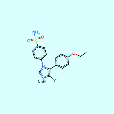 CCOc1ccc(-c2c(Cl)ncn2-c2ccc(S(N)(=O)=O)cc2)cc1.[NaH]